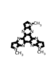 Cn1ccc2nc3c4nc5ccn(C)c5nc4c4nc5c(ccn5C)nc4c3nc21